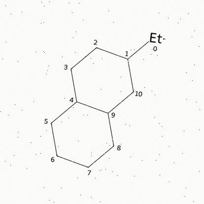 C[CH]C1CCC2CCCCC2C1